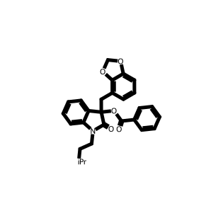 CC(C)CCN1C(=O)C(Cc2cccc3c2OCO3)(OC(=O)c2ccccc2)c2ccccc21